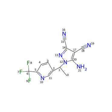 CC(c1ccc(C(F)(F)F)nc1)n1nc(C#N)c(C#N)c1N